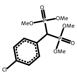 COP(=O)(OC)C(c1ccc(Cl)cc1)P(=O)(OC)OC